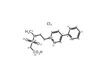 CN(CC[n+]1ccc(-c2ncccn2)cn1)S(=O)(=O)CC(=O)O.[Cl-]